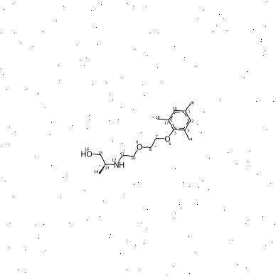 Cc1cc(C)c(OCCOCCN[C@@H](C)CO)c(C)c1